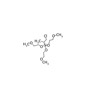 COCCO[Si](OCCOC)(OCCOC)C(C)CCl